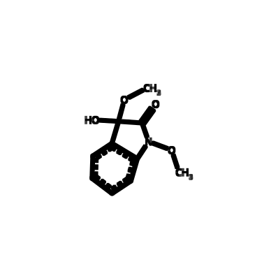 CON1C(=O)C(O)(OC)c2ccccc21